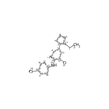 CCn1cccc1-c1cnc(Nc2ccc(Cl)cc2)c(Cl)c1